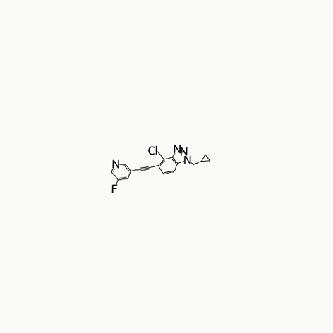 Fc1cncc(C#Cc2ccc3c(nnn3CC3CC3)c2Cl)c1